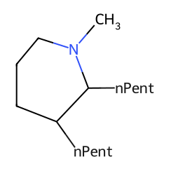 CCCCCC1CCCN(C)C1CCCCC